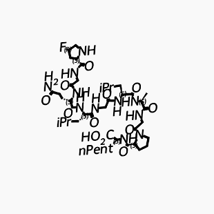 CCCCC[C@H](NC(=O)[C@@H]1CCCN1C(=O)CNC(=O)[C@H](C)NC(=O)[C@H](CC(C)C)NC(=O)CNC(=O)[C@H](CC(C)C)NC(=O)[C@H](CCC(N)=O)NC(=O)CNC(=O)[C@@H]1C[C@@H](F)CN1)C(=O)O